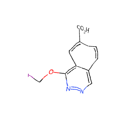 O=C(O)c1ccc2cnnc(OCI)c2c1